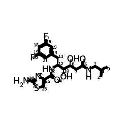 CC(C)CNC(=O)C[C@@H](O)[C@H](O)[C@H](Cc1cc(F)cc(F)c1)NC(=O)c1csc(N)n1